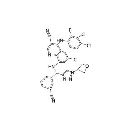 N#Cc1cccc([C@H](Nc2cc(Cl)cc3c(Nc4ccc(Cl)c(Cl)c4F)c(C#N)cnc23)c2cn(C3COC3)nn2)c1